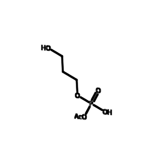 CC(=O)OP(=O)(O)OCCCO